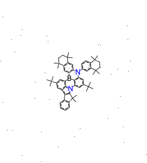 CC(C)(C)c1cc2c3c(c1)-n1c4c(c5cc(C(C)(C)C)cc(c51)B3c1cc3c(cc1N2c1ccc2c(c1)C(C)(C)CCC2(C)C)C(C)(C)CCC3(C)C)-c1ccccc1C4(C)C